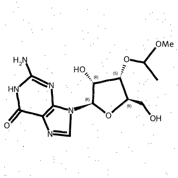 COC(C)O[C@H]1[C@@H](O)[C@H](n2cnc3c(=O)[nH]c(N)nc32)O[C@@H]1CO